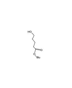 CCC(C)OC(=O)CCCCO